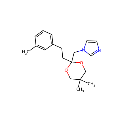 Cc1cccc(CCC2(Cn3ccnc3)OCC(C)(C)CO2)c1